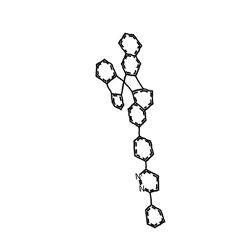 c1ccc(-c2ccc(-c3ccc(-c4ccc5c6c(ccc5c4)-c4cc5ccccc5cc4C64c5ccccc5-c5ccccc54)cc3)nn2)cc1